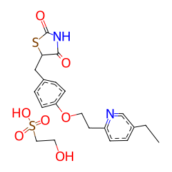 CCc1ccc(CCOc2ccc(CC3SC(=O)NC3=O)cc2)nc1.O=S(=O)(O)CCO